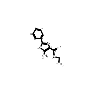 CCOC(=O)c1nc(-c2ccccc2)sc1C